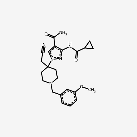 COc1cccc(CN2CCC(CC#N)(n3cc(C(N)=O)c(NC(=O)C4CC4)n3)CC2)c1